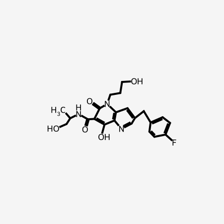 CC(CO)NC(=O)c1c(O)c2ncc(Cc3ccc(F)cc3)cc2n(CCCO)c1=O